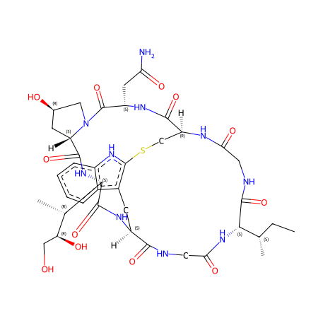 CC[C@H](C)[C@@H]1NC(=O)CNC(=O)[C@@H]2Cc3c([nH]c4ccccc34)SC[C@H](NC(=O)CNC1=O)C(=O)N[C@@H](CC(N)=O)C(=O)N1C[C@H](O)C[C@H]1C(=O)N[C@@H]([C@@H](C)[C@@H](O)CO)C(=O)N2